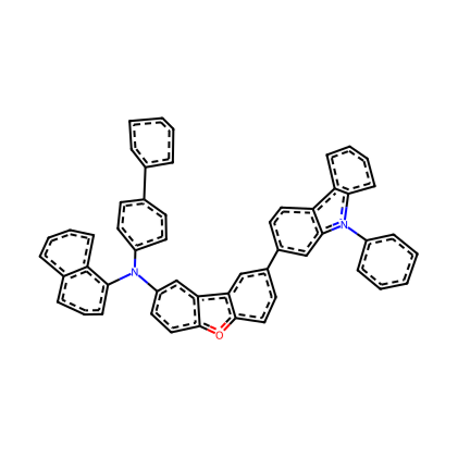 c1ccc(-c2ccc(N(c3ccc4oc5ccc(-c6ccc7c8ccccc8n(-c8ccccc8)c7c6)cc5c4c3)c3cccc4ccccc34)cc2)cc1